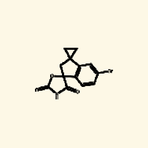 O=C1NC(=O)C2(CC3(CC3)c3cc(Br)ccc32)O1